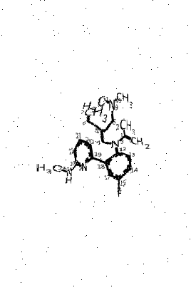 C=C(C)N(CC(CC)CN(C)C)c1ccc(F)cc1-c1cccc(NC)n1